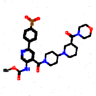 CC(C)(C)OC(=O)Nc1cnc(-c2ccc([SH](=O)=O)cc2)cc1C(=O)N1CCC(N2CCCC(C(=O)N3CCOCC3)C2)CC1